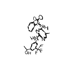 Cc1cnc(Nc2cc(C(C)O)cc(C(F)(F)F)c2)nc1Nn1c(=O)oc2ccccc21